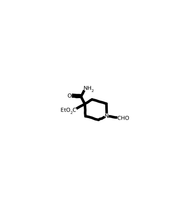 CCOC(=O)C1(C(N)=O)CCN(C=O)CC1